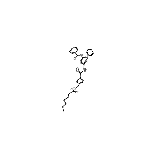 CCCCCCC(=O)NCc1ccc(C(=O)Nc2nc(NC(=O)c3ccccc3)n(-c3ccccc3)n2)cc1